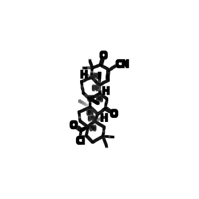 CC1(C)CC[C@]2(C(=O)Cl)CC[C@]3(C)C(C(=O)C[C@@H]4[C@@]5(C)C=C(C#N)C(=O)C(C)(C)[C@@H]5CC[C@]43C)[C@H]2C1